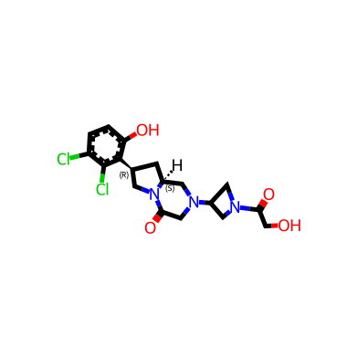 O=C(CO)N1CC(N2CC(=O)N3C[C@@H](c4c(O)ccc(Cl)c4Cl)C[C@H]3C2)C1